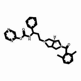 Cc1cccc(C)c1C(=O)N1CC2CN(CCC(NC(=O)Oc3cnccn3)c3ccccc3)C[C@H]2C1